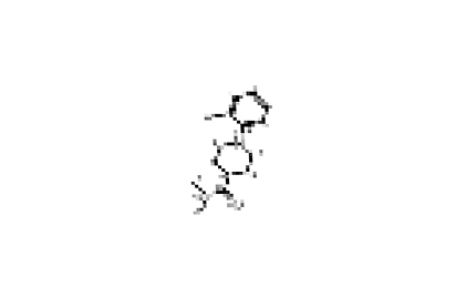 Cc1ccccc1N1CCC(C(=O)N(C)C)CC1